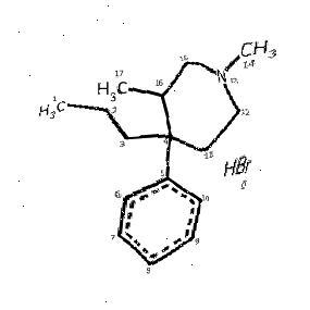 Br.CCCC1(c2ccccc2)CCN(C)CC1C